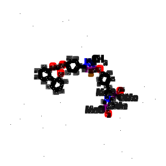 COP(=O)(CN(CCc1ccc(O[PH](=S)N(C)/N=C/c2ccc(OC3Oc4ccccc4-c4ccccc4O3)cc2)cc1)CP(=O)(OC)OC)OC